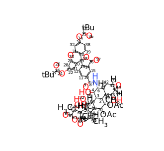 CC(=O)O[C@H]1C2C([C@@H](O)[C@H](NC(=O)c3ccc4c(c3)C(=O)OC43c4ccc(OC(=O)C(C)(C)C)cc4Oc4cc(OC(=O)C(C)(C)C)ccc43)[C@H]3C[C@@H]4O[C@@H]4[C@H](O)[C@]23C)[C@@H]2[C@@H](O)[C@@H]3[C@H]([C@H](C)[C@H]4O[C@]45OC(=O)[C@@](C)(O)[C@]35C)[C@@]2(C)[C@H]1OC(C)=O